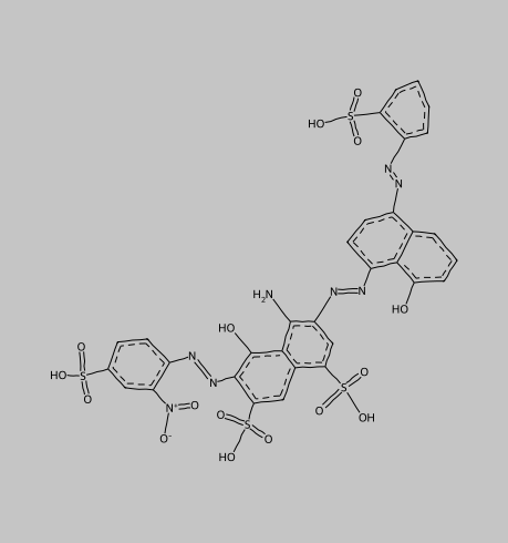 Nc1c(N=Nc2ccc(N=Nc3ccccc3S(=O)(=O)O)c3cccc(O)c23)cc(S(=O)(=O)O)c2cc(S(=O)(=O)O)c(N=Nc3ccc(S(=O)(=O)O)cc3[N+](=O)[O-])c(O)c12